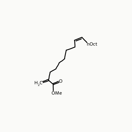 C=C(CCCCCC/C=C\CCCCCCCC)C(=O)OC